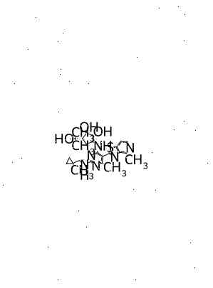 Cc1nc(NCC2(C)CC2)nc(N[C@@H]2C[C@H](C(C)(C)O)[C@@H](O)[C@H]2O)c1-c1nc2c(C)nccc2s1